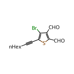 CCCCCCC#Cc1sc(C=O)c(C=O)c1Br